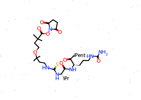 CCCC(C)C(=O)[C@H](CCCNC(N)=O)NC(=O)[C@@H](NC(=S)NCCC(C)(C)OCCC(C)(C)C(=O)ON1C(=O)CCC1=O)C(C)C